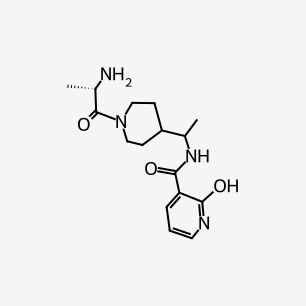 CC(NC(=O)c1cccnc1O)C1CCN(C(=O)[C@H](C)N)CC1